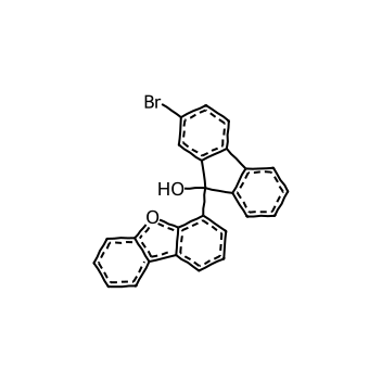 OC1(c2cccc3c2oc2ccccc23)c2ccccc2-c2ccc(Br)cc21